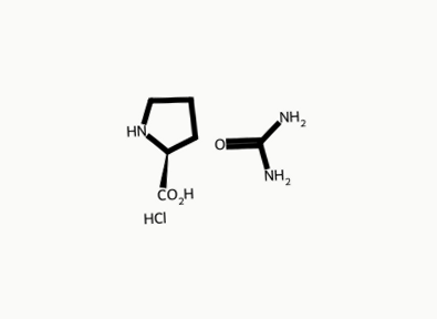 Cl.NC(N)=O.O=C(O)[C@@H]1CCCN1